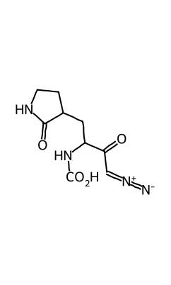 [N-]=[N+]=CC(=O)C(CC1CCNC1=O)NC(=O)O